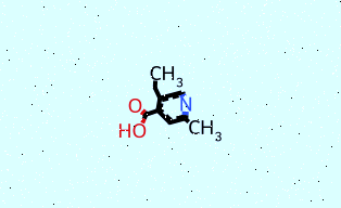 CCc1cnc(C)cc1C(=O)O